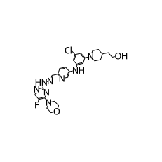 OCCC1CCN(c2cc(Cl)cc(Nc3ccc(/C=N/Nc4ncc(F)c(N5CCOCC5)n4)nc3)c2)CC1